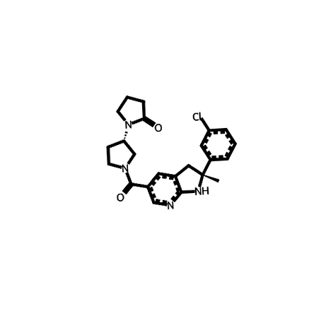 C[C@]1(c2cccc(Cl)c2)Cc2cc(C(=O)N3CC[C@H](N4CCCC4=O)C3)cnc2N1